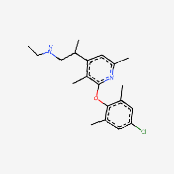 CCNCC(C)c1cc(C)nc(Oc2c(C)cc(Cl)cc2C)c1C